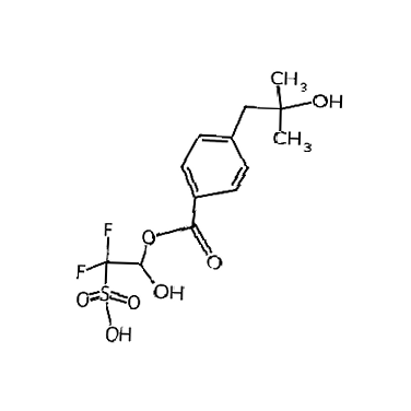 CC(C)(O)Cc1ccc(C(=O)OC(O)C(F)(F)S(=O)(=O)O)cc1